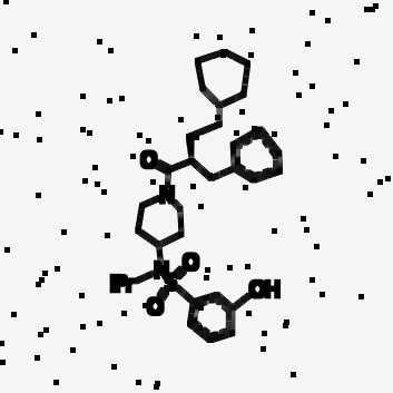 CC(C)N(C1CCN(C(=O)[C@@H](CCC2CCCCC2)Cc2ccccc2)CC1)S(=O)(=O)c1cccc(O)c1